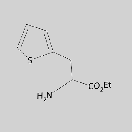 CCOC(=O)C(N)Cc1cccs1